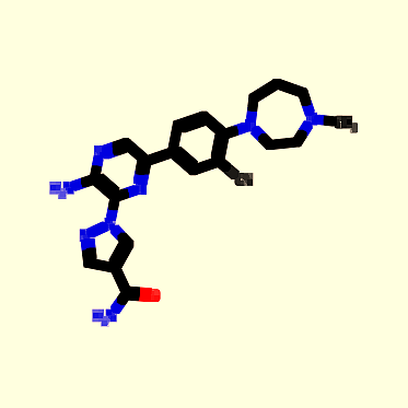 CN1CCCN(c2ccc(-c3cnc(N)c(-n4cc(C(N)=O)cn4)n3)cc2C#N)CC1